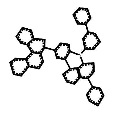 c1ccc(-c2ccc(N(c3cccc(-c4ccccc4)c3)c3ccc(-c4cc5ccccc5c5c4ccc4ccccc45)cc3-c3ccccc3)cc2)cc1